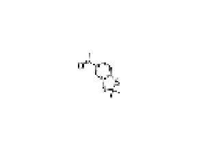 CC(=O)c1ccc2c(c1)SC(C)(C)S2